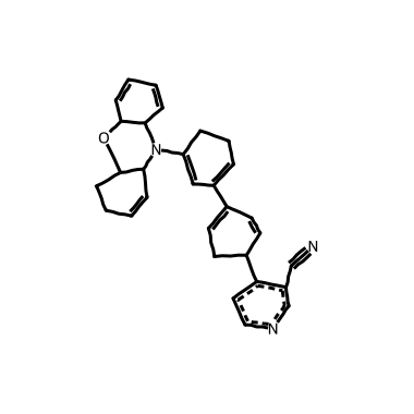 N#Cc1cnccc1C1C=CC(C2=CCCC(N3C4C=CC=CC4OC4CCC=CC43)=C2)=CC1